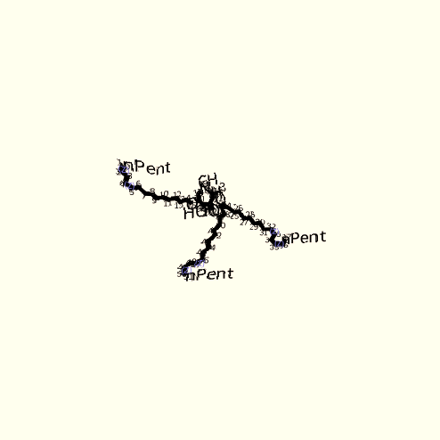 CCCCC/C=C\C/C=C\CCCCCCCCCO[C@@H]1CN(C)C[C@H]2OC(CCCCCCCC/C=C\C/C=C\CCCCC)(CCCCCCCC/C=C\C/C=C\CCCCC)O[C@H]2[C@@H]1O